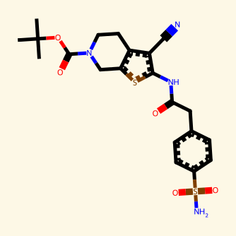 CC(C)(C)OC(=O)N1CCc2c(sc(NC(=O)Cc3ccc(S(N)(=O)=O)cc3)c2C#N)C1